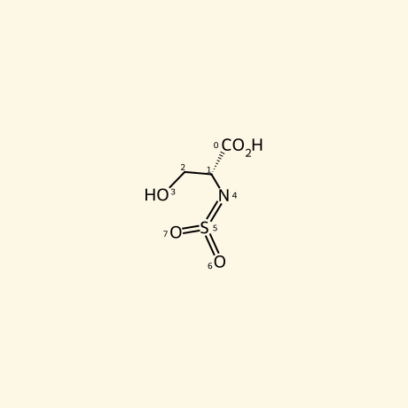 O=C(O)[C@@H](CO)N=S(=O)=O